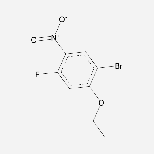 CCOc1cc(F)c([N+](=O)[O-])cc1Br